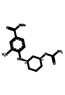 CNC(=O)c1ccc(N[C@@H]2CCC[C@H](OC(N)=O)C2)c(N)c1